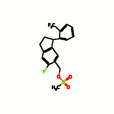 CS(=O)(=O)OCc1cc2c(cc1F)CCC2c1ccccc1C(F)(F)F